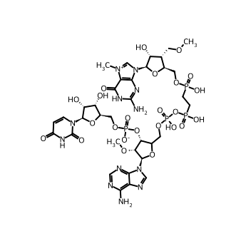 COC[C@H]1[C@@H](O)[C@H](n2c[n+](C)c3c(=O)[nH]c(N)nc32)O[C@@H]1COP(=O)(O)CCP(=O)(O)OP(=O)(O)OCC1O[C@@H](n2cnc3c(N)ncnc32)[C@H](OC)[C@@H]1OP(=O)([O-])OC[C@H]1O[C@@H](n2ccc(=O)[nH]c2=O)[C@H](O)[C@@H]1O